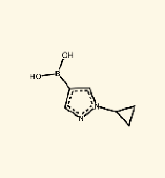 OB(O)c1cnn(C2CC2)c1